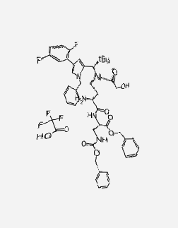 CC(C)(C)[C@H](c1cc(-c2cc(F)ccc2F)cn1Cc1ccccc1)N(CC[C@H](N)C(=O)N[C@H](CNC(=O)OCc1ccccc1)C(=O)OCc1ccccc1)C(=O)CO.O=C(O)C(F)(F)F